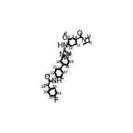 COc1cc(C(=O)N2CCC2)ccc1Nc1nc2cc(-c3ccc(NC(=O)[C@H](C)c4ccc(F)cc4)cc3)ccn2n1